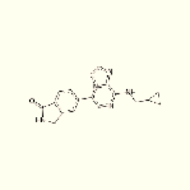 O=C1NCc2cc(-c3cnc(NCC4CC4)c4nccn34)ccc21